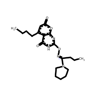 CCCCc1cc(=O)oc2nc(O/N=C(\CCC)N3CCCCC3)[nH]c(=O)c12